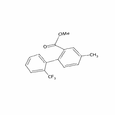 COC(=O)c1cc(C)ccc1-c1ccccc1C(F)(F)F